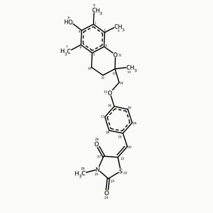 Cc1c(C)c2c(c(C)c1O)CCC(C)(COc1ccc(C=C3SC(=O)N(C)C3=O)cc1)O2